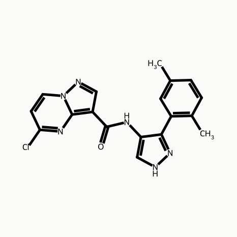 Cc1ccc(C)c(-c2n[nH]cc2NC(=O)c2cnn3ccc(Cl)nc23)c1